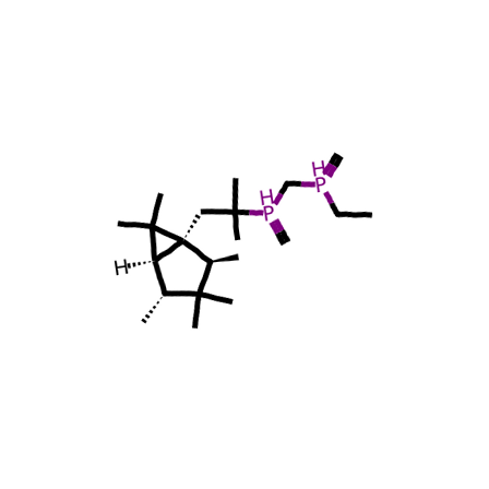 C=[PH](CC)C[PH](=C)C(C)(C)C[C@]12[C@@H](C)C(C)(C)[C@H](C)[C@H]1C2(C)C